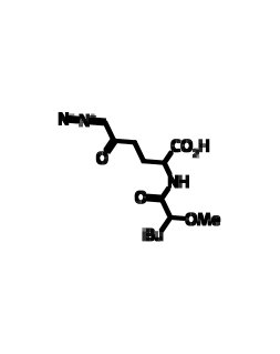 CCC(C)C(OC)C(=O)NC(CCC(=O)C=[N+]=[N-])C(=O)O